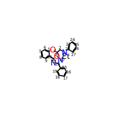 CCN(CCOc1ccccc1-c1nc(-c2ccccc2)no1)c1ccccc1